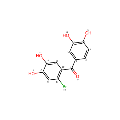 O=C(c1ccc(O)c(O)c1)c1cc(O)c(O)cc1Br